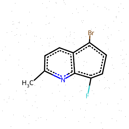 Cc1ccc2c(Br)ccc(F)c2n1